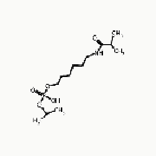 CC(C)OP(=O)(O)OCCCCCCNC(=O)C(C)C